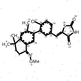 CO/N=C1\CCC(C)(C)c2cc(C)c(-c3cc(/C=C4\SC(=O)NC4=O)ccc3Cl)cc21